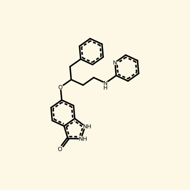 O=c1[nH][nH]c2cc(OC(CCNc3ccccn3)Cc3ccccc3)ccc12